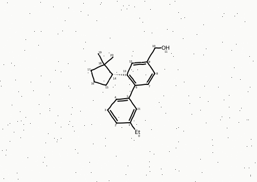 CCc1cccc(-c2ccc(CO)cc2[C@@H]2CCCC2(C)C)c1